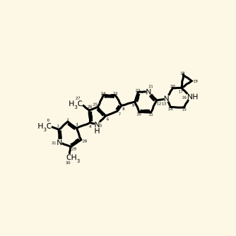 Cc1cc(-c2[nH]c3cc(-c4ccc(N5CCNC6(CC6)C5)nc4)ccc3c2C)cc(C)n1